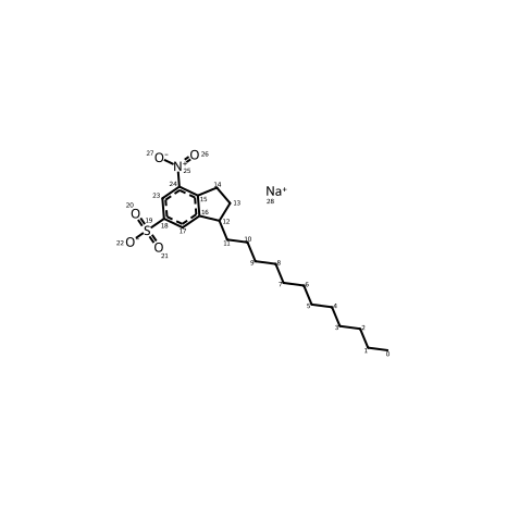 CCCCCCCCCCCCC1CCc2c1cc(S(=O)(=O)[O-])cc2[N+](=O)[O-].[Na+]